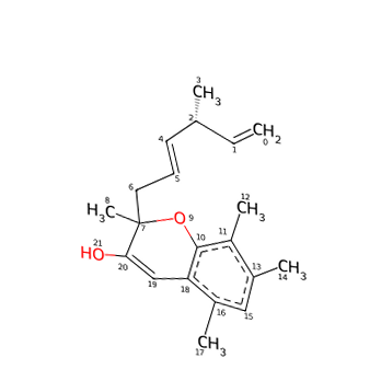 C=C[C@@H](C)C=CCC1(C)Oc2c(C)c(C)cc(C)c2C=C1O